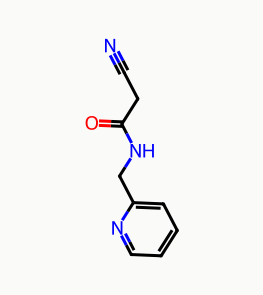 N#CCC(=O)NCc1ccccn1